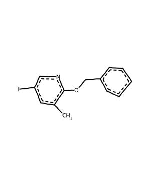 Cc1cc(I)cnc1OCc1ccccc1